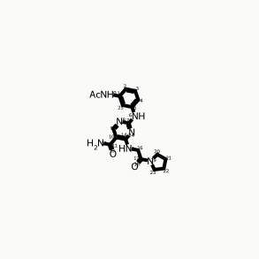 CC(=O)Nc1cccc(Nc2ncc(C(N)=O)c(NCC(=O)N3CCCC3)n2)c1